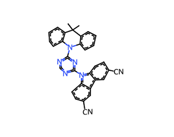 CC1(C)c2ccccc2N(c2ncnc(-n3c4ccc(C#N)cc4c4cc(C#N)ccc43)n2)c2ccccc21